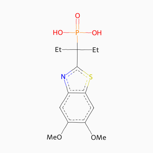 CCC(CC)(c1nc2cc(OC)c(OC)cc2s1)P(=O)(O)O